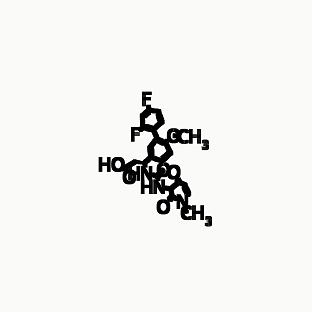 COc1ccc([C@H](CC(=O)O)NC(=O)NC2C(=O)C=CN(C)C2=O)cc1-c1ccc(F)cc1F